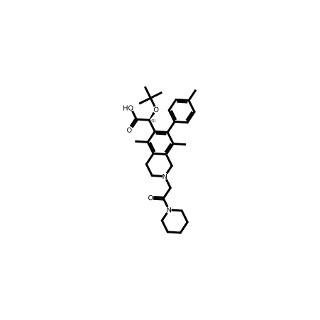 Cc1ccc(-c2c(C)c3c(c(C)c2[C@H](OC(C)(C)C)C(=O)O)CCN(CC(=O)N2CCCCC2)C3)cc1